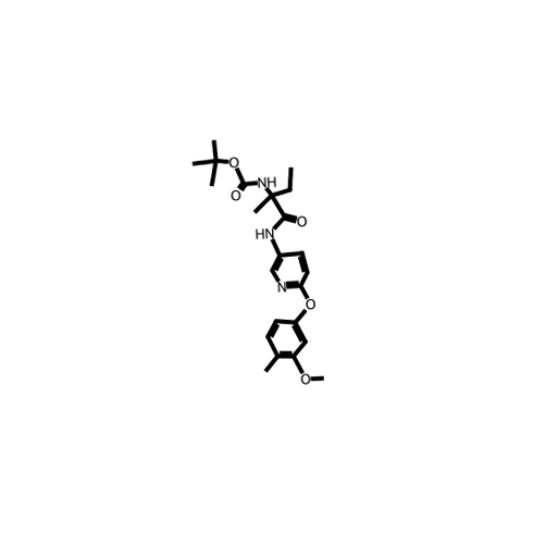 CCC(C)(NC(=O)OC(C)(C)C)C(=O)Nc1ccc(Oc2ccc(C)c(OC)c2)nc1